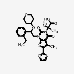 CCc1ccccc1C(Cn1c(=O)n(C(C)(C)C(=O)O)c(=O)c2c(C)c(-c3ncco3)sc21)OC1CCOCC1